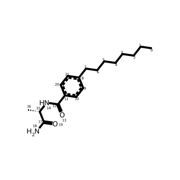 CCCCCCCCc1ccc(C(=O)N[C@@H](C)C(N)=O)cc1